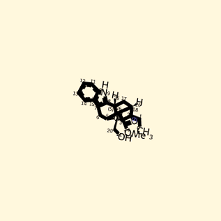 C/C=C1\CN2C3Cc4c([nH]c5ccccc45)[C@@H]2C[C@@H]1[C@]3(CO)C(=O)OC